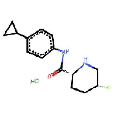 Cl.O=C(Nc1ccc(C2CC2)cc1)[C@H]1CC[C@@H](F)CN1